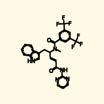 CN(C(=O)c1cc(C(F)(F)F)cc(C(F)(F)F)c1)C(C=CC(=O)Nc1ncccn1)Cc1c[nH]c2ccccc12